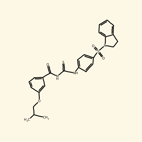 CC(C)COc1cccc(C(=O)NC(=S)Nc2ccc(S(=O)(=O)N3CCc4ccccc43)cc2)c1